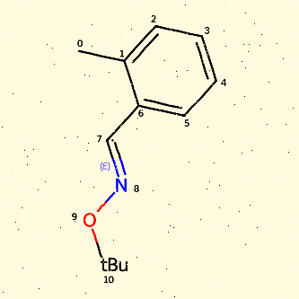 Cc1ccccc1/[C]=N/OC(C)(C)C